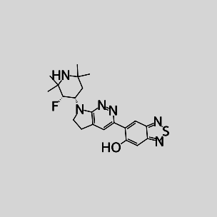 CC1(C)C[C@H](N2CCc3cc(-c4cc5nsnc5cc4O)nnc32)[C@H](F)C(C)(C)N1